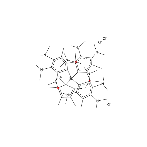 CC1=C(C)[C]([Ti+3])([Si](c2c(N(C)C)c(C)c(N(C)C)c(N(C)C)c2N(C)C)(c2c(N(C)C)c(C)c(N(C)C)c(N(C)C)c2N(C)C)c2c(N(C)C)c(C)c(N(C)C)c(N(C)C)c2N(C)C)C(C)=C1C.[Cl-].[Cl-].[Cl-]